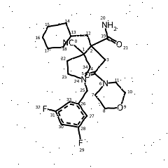 N#CC1(C(CC(=O)N2CCOCC2)(CC2CCCCC2)C(N)=O)CCN(Cc2cc(F)cc(F)c2)C1